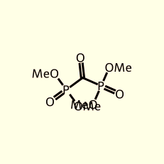 COP(=O)(OC)C(=O)P(=O)(OC)OC